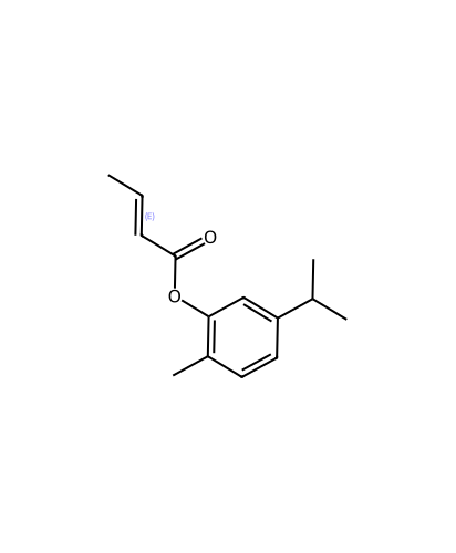 C/C=C/C(=O)Oc1cc(C(C)C)ccc1C